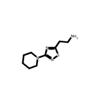 NCCc1nc(N2CCCCC2)ns1